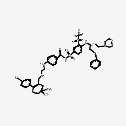 CC1(C)CCC(c2ccc(Cl)cc2)=C(CNCCNc2ccc(C(=O)NS(=O)(=O)c3ccc(N[C@H](CCN4CCOCC4)CSc4ccccc4)c(S(=O)(=O)C(F)(F)Cl)c3)cc2)C1